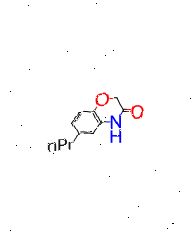 CCCc1ccc2c(c1)NC(=O)CO2